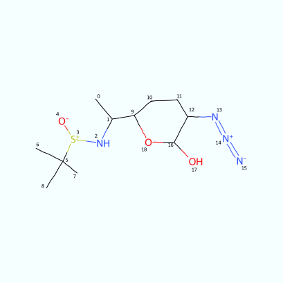 CC(N[S+]([O-])C(C)(C)C)C1CCC(N=[N+]=[N-])C(O)O1